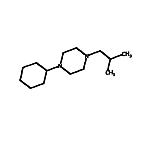 CC(C)CN1CCN(C2CCCCC2)CC1